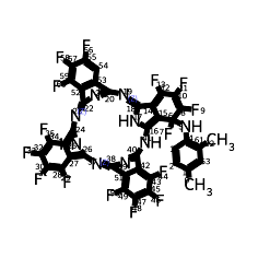 Cc1ccc(NC2(F)C(F)=C(F)C(F)=c3c2c2[nH]/c3=N\C3=NC(=N\c4[nH]c(c5c(F)c(F)c(F)c(F)c45)/N=C4\N=C(N2)c2c(F)c(F)c(F)c(F)c24)/c2c3cc(F)c(F)c2F)c(C)c1